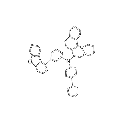 c1ccc(-c2ccc(N(c3cccc(-c4cccc5oc6ccccc6c45)c3)c3cc4ccccc4c4c3ccc3ccccc34)cc2)cc1